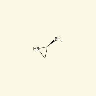 B[C@@H]1BC1